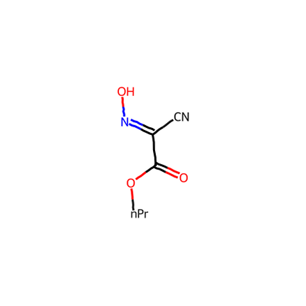 CCCOC(=O)C(C#N)=NO